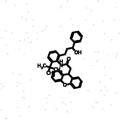 CC(C)(C)c1cccc(CCC(O)c2ccccc2)c1NC(=O)CC1c2ccccc2Oc2ccccc21